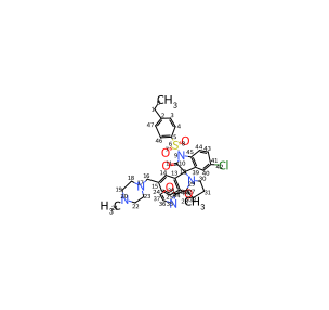 CCc1ccc(S(=O)(=O)N2C(=O)C(c3cc(CN4CCN(C)CC4)ccc3OC)(N3CCC[C@H]3c3ncco3)c3cc(Cl)ccc32)cc1